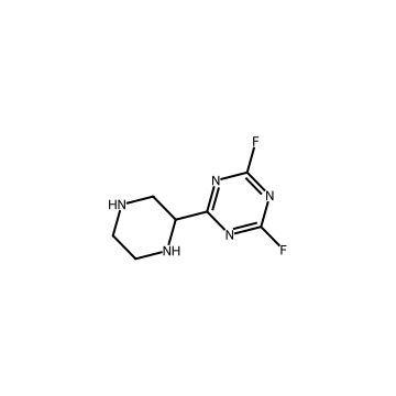 Fc1nc(F)nc(C2CNCCN2)n1